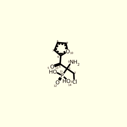 NC(CCl)(C(=O)c1ccco1)P(=O)(O)O